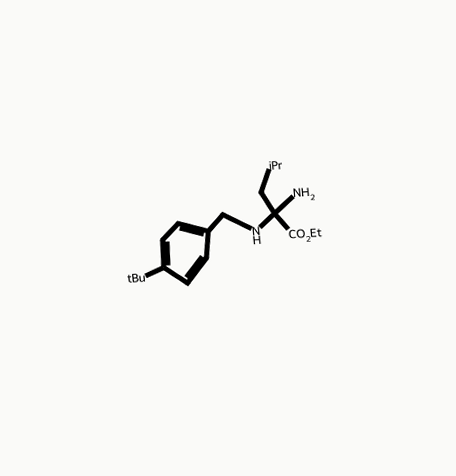 CCOC(=O)C(N)(CC(C)C)NCc1ccc(C(C)(C)C)cc1